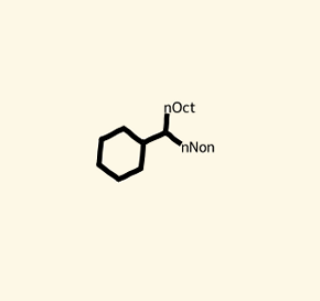 CCCCCCCCCC(CCCCCCCC)[C]1CCCCC1